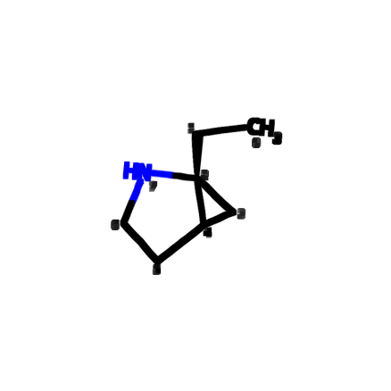 CC[C@@]12CC1CCN2